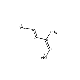 CC(=C/O)/C=C/O